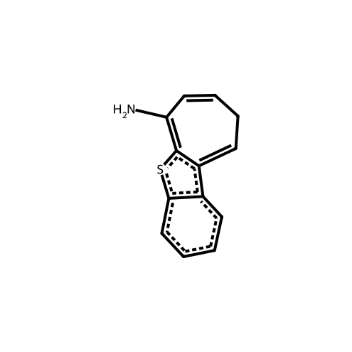 NC1=c2sc3ccccc3c2=CCC=C1